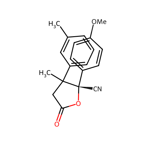 COc1ccc([C@]2(C#N)OC(=O)CC2(C)c2cccc(C)c2)cc1